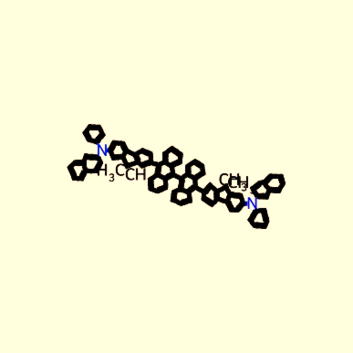 CC1(C)c2cc(-c3c4ccccc4c(-c4c5ccccc5c(-c5ccc6c(c5)C(C)(C)c5cc(N(c7ccccc7)c7ccc8ccccc8c7)ccc5-6)c5ccccc45)c4ccccc34)ccc2-c2ccc(N(c3ccccc3)c3ccc4ccccc4c3)cc21